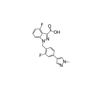 Cn1cc(-c2ccc(Cn3nc(C(=O)O)c4c(F)cccc43)c(F)c2)cn1